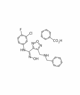 O/N=C(/Nc1ccc(F)c(Cl)c1)c1nonc1CNCc1ccccc1.O=C(O)c1ccccc1